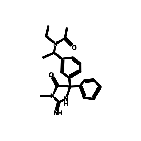 CCN(C(C)=O)C(C)c1cccc(C2(c3ccccc3)NC(=N)N(C)C2=O)c1